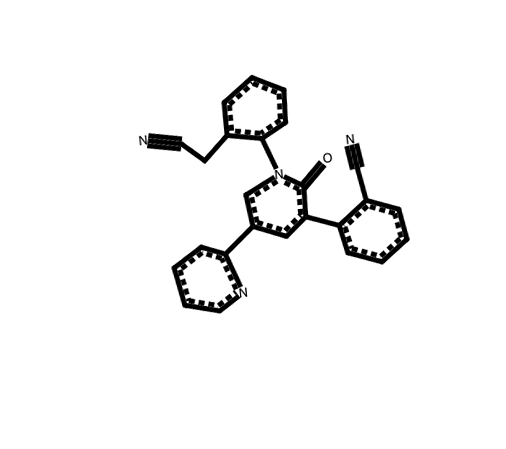 N#CCc1ccccc1-n1cc(-c2ccccn2)cc(-c2ccccc2C#N)c1=O